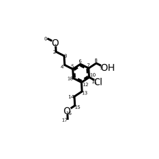 COCCCc1cc(CO)c(Cl)c(CCCOC)c1